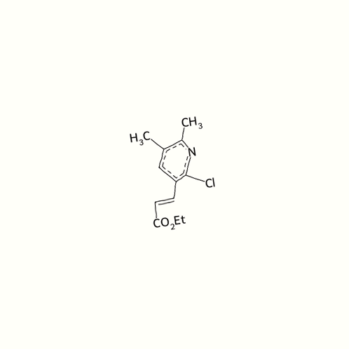 CCOC(=O)C=Cc1cc(C)c(C)nc1Cl